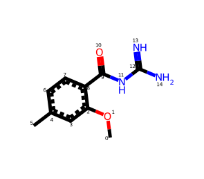 COc1cc(C)ccc1C(=O)NC(=N)N